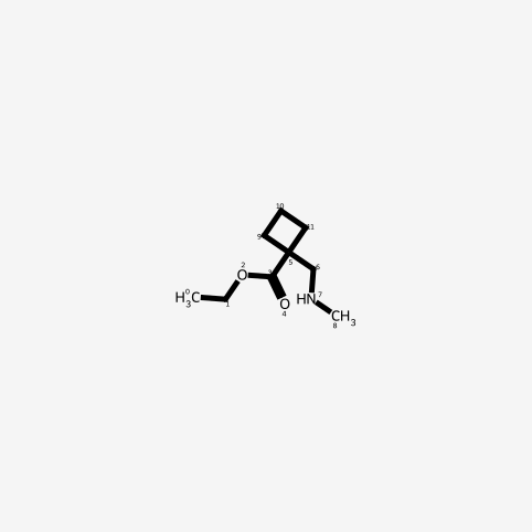 CCOC(=O)C1(CNC)CCC1